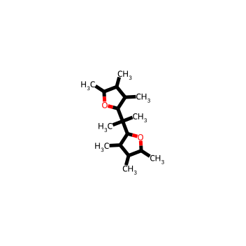 CC1OC(C(C)(C)C2OC(C)C(C)C2C)C(C)C1C